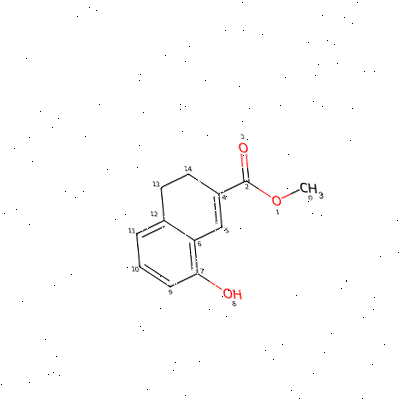 COC(=O)C1=Cc2c(O)cccc2CC1